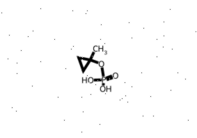 CC1(OP(=O)(O)O)CC1